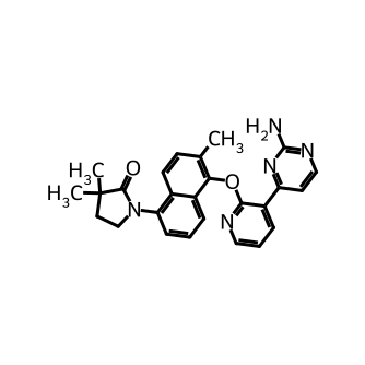 Cc1ccc2c(N3CCC(C)(C)C3=O)cccc2c1Oc1ncccc1-c1ccnc(N)n1